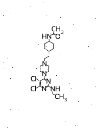 CCNc1nc(Cl)c(Cl)c(N2CCN(CC[C@H]3CC[C@H](NC(C)=O)CC3)CC2)n1